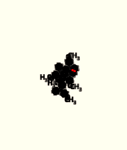 COc1ccc(N(c2ccccc2)c2ccc3c(c2)C(C)(C)c2cc4c(N(c5ccccc5)c5ccc(OC)cc5)c5ccc(N(c6ccccc6)c6ccc(OC)cc6)cc5c(N(c5ccccc5)c5ccc(OC)cc5)c4cc2-3)cc1